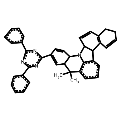 CC1(C)c2cccc3c2N(C2C=CC4=C(C=CCC4)C32)C2C=CC(c3nc(-c4ccccc4)nc(-c4ccccc4)n3)=CC21